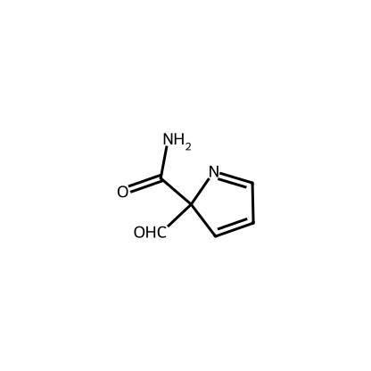 NC(=O)C1(C=O)C=CC=N1